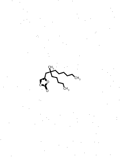 CCCCCCC(C)(CCCCC)Cc1coc(=O)o1